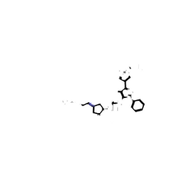 COC/C=C1\C[C@@H](C)[C@H](NC(=O)Nc2c(C)c(-c3cnn(C)c3)nn2-c2ccccc2)C1